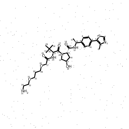 Cc1ncsc1-c1ccc([C@H](C)NC(=O)[C@@H]2C[C@@H](O)CN2C(=O)[C@@H](NC(=O)COCCCOCCN)C(C)(C)C)cc1